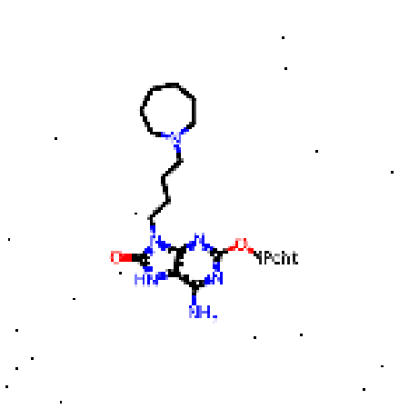 CCCC(C)Oc1nc(N)c2[nH]c(=O)n(CCCCN3CCCCCC3)c2n1